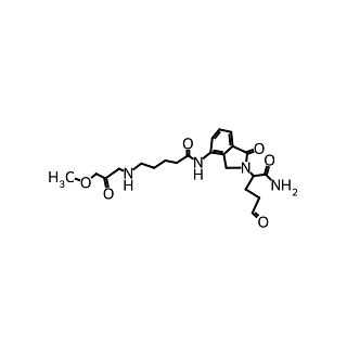 COCC(=O)CNCCCCC(=O)Nc1cccc2c1CN(C(CCC=O)C(N)=O)C2=O